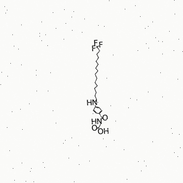 O=C(O)CNC(=O)c1ccc(NCCCCCCCCCCCCCCCC(F)(F)F)cc1